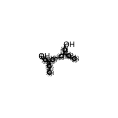 OCc1ccc(N(c2ccc(CCc3ccc(N(c4ccc(CO)cc4)c4ccc(-c5ccccc5)cc4)cc3)cc2)c2ccc(-c3ccccc3)cc2)cc1